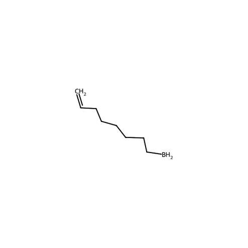 BCCCCCCC=C